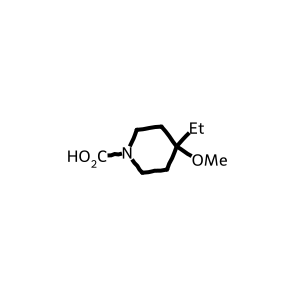 CCC1(OC)CCN(C(=O)O)CC1